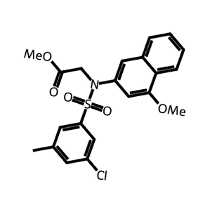 COC(=O)CN(c1cc(OC)c2ccccc2c1)S(=O)(=O)c1cc(C)cc(Cl)c1